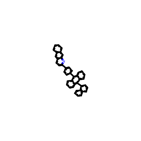 c1ccc2cc3nc(-c4ccc(-c5c6ccccc6c(-c6cccc7ccccc67)c6ccccc56)cc4)ccc3cc2c1